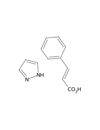 O=C(O)C=Cc1ccccc1.c1cn[nH]c1